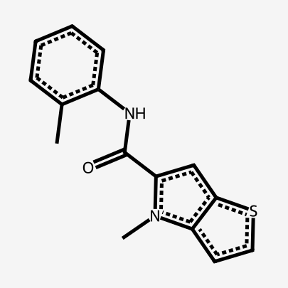 Cc1ccccc1NC(=O)c1cc2sccc2n1C